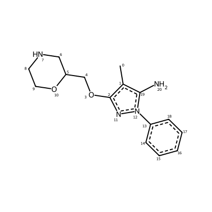 Cc1c(OCC2CNCCO2)nn(-c2ccccc2)c1N